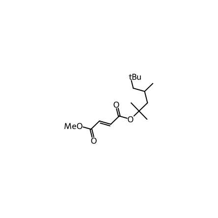 COC(=O)/C=C/C(=O)OC(C)(C)CC(C)CC(C)(C)C